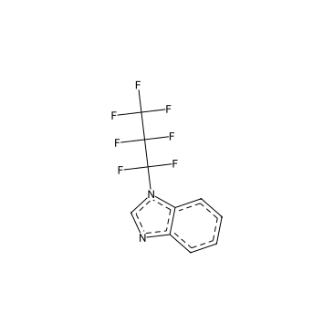 FC(F)(F)C(F)(F)C(F)(F)n1cnc2ccccc21